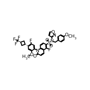 COc1ccc(CN(c2ccon2)S(=O)(=O)c2ccc3c(ccc(=O)n3-c3cc(F)c([C@H]4C[C@H](C(F)(F)F)C4)cc3OC)c2F)cc1